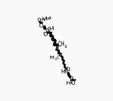 COCCOCCNC(=O)CCCCCC/C(C)=C/CC/C=C(\C)CCCCCCC(=O)NCCOCCO